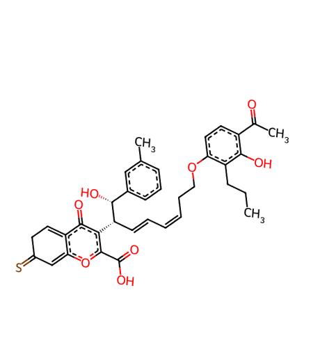 CCCc1c(OCC/C=C\C=C\[C@H](c2c(C(=O)O)oc3c(c2=O)=CCC(=S)C=3)[C@H](O)c2cccc(C)c2)ccc(C(C)=O)c1O